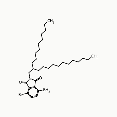 Bc1ccc(Br)c2c1C(=O)N(CC(CCCCCCCCCC)CCCCCCCCCCCC)C2=O